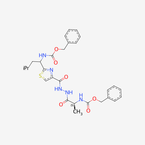 CC(C)CC(NC(=O)OCc1ccccc1)c1nc(C(=O)NNC(=O)[C@H](C)NC(=O)OCc2ccccc2)cs1